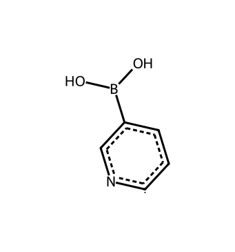 OB(O)c1cc[c]nc1